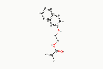 C=C(C)C(=O)OCCOc1ccc2ccccc2c1